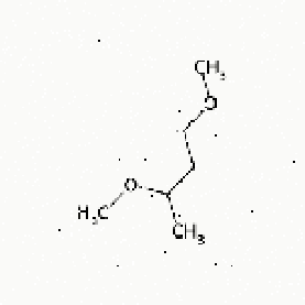 CO[CH]CC(C)OC